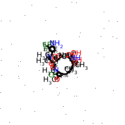 COc1cc2cc(c1Cl)N(C)C(=O)C[C@H](OC(=O)[C@H](C)N(C)C(=O)c1ccc(N)c(C(F)(F)F)c1)[C@]1(C)O[C@H]1C[C@@H]1C[C@@](O)(NC(O)O1)[C@H](OC)/C=C/C=C(\C)C2